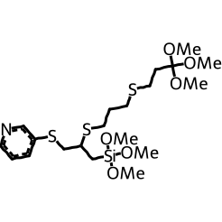 COC(CCSCCCSC(CSc1cccnc1)C[Si](OC)(OC)OC)(OC)OC